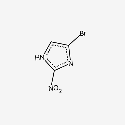 O=[N+]([O-])c1nc(Br)c[nH]1